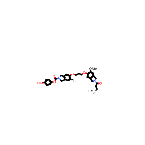 CCOC(=O)CCC(=O)N1Cc2cc(OC)c(OCCCOc3cc4c(cc3CC)CN(C(=O)Oc3ccc(O)cc3)C4)cc2C1